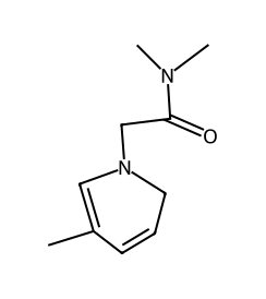 CC1=CN(CC(=O)N(C)C)CC=C1